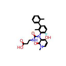 Cc1ccccc1-c1ccc(F)c(N(C(=O)NCCC(=O)O)c2c(O)ccn(C)c2=O)c1C